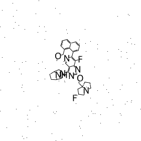 COCc1cccc2cccc(-c3ncc4c(N5CC6CCC(C5)N6)nc(OCC56CCCN5C[C@H](F)C6)nc4c3F)c12